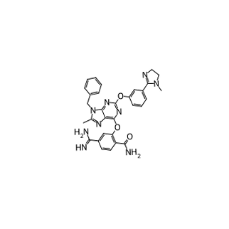 Cc1nc2c(Oc3cc(C(=N)N)ccc3C(N)=O)nc(Oc3cccc(C4=NCCN4C)c3)nc2n1Cc1ccccc1